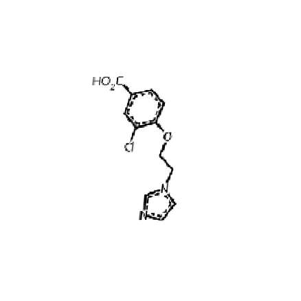 O=C(O)c1ccc(OCCn2ccnc2)c(Cl)c1